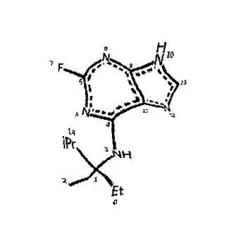 CCC(C)(Nc1nc(F)nc2[nH]cnc12)C(C)C